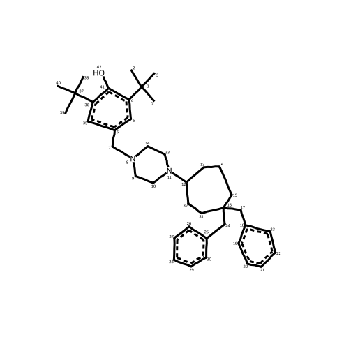 CC(C)(C)c1cc(CN2CCN(C3CCCC(Cc4ccccc4)(Cc4ccccc4)CC3)CC2)cc(C(C)(C)C)c1O